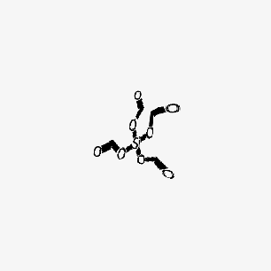 O=CO[Si](OC=O)(OC=O)OC=O